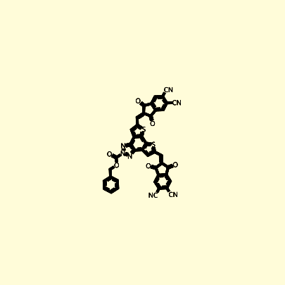 N#Cc1cc2c(cc1C#N)C(=O)C(=Cc1cc3c4nn(C(=O)OCc5ccccc5)nc4c4cc(C=C5C(=O)c6cc(C#N)c(C#N)cc6C5=O)sc4c3s1)C2=O